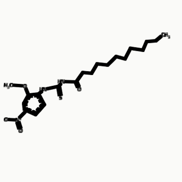 CCCCCCCCCCCC(=O)NC(=S)Nc1ccc([N+](=O)[O-])cc1OC